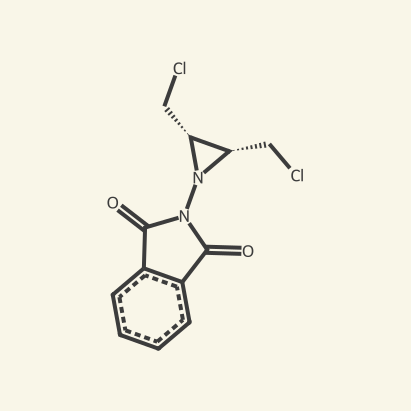 O=C1c2ccccc2C(=O)N1N1[C@H](CCl)[C@@H]1CCl